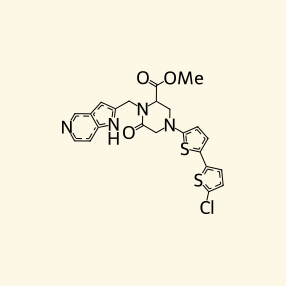 COC(=O)C1CN(c2ccc(-c3ccc(Cl)s3)s2)CC(=O)N1Cc1cc2cnccc2[nH]1